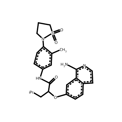 Cc1cc(NC(=O)C(CC(C)C)Oc2ccc3ccnc(N)c3c2)ccc1N1CCCS1(=O)=O